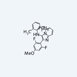 COc1cc(F)c(-c2nc3cccc(C(F)(F)F)n3c2Nc2c(C)cccc2C)c(F)c1